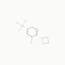 Fc1cc(C(F)(F)F)cnc1C1C[CH]C1